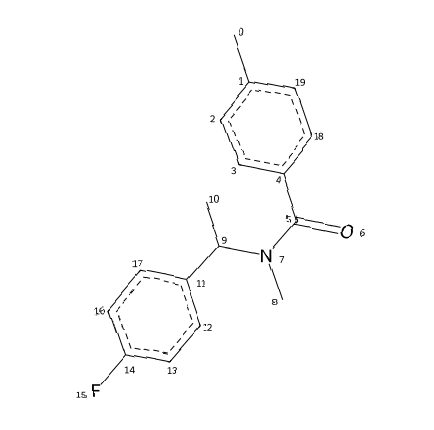 Cc1ccc(C(=O)N(C)C(C)c2ccc(F)cc2)cc1